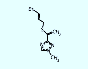 C=C(SC/C=C/CC)c1ncn(C)n1